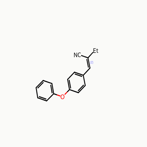 CC/C(C#N)=C/c1ccc(Oc2ccccc2)cc1